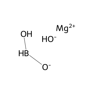 [Mg+2].[O-]BO.[OH-]